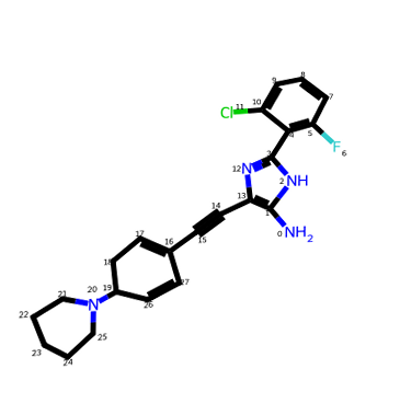 Nc1[nH]c(-c2c(F)cccc2Cl)nc1C#CC1=CCC(N2CCCCC2)C=C1